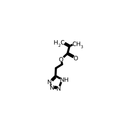 C=C(C)C(=O)OCCc1nnn[nH]1